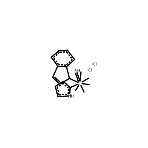 Cl.Cl.[CH3][Ti]([CH3])([CH3])([CH3])([CH3])(=[SiH2])([c]1ccc[nH]1)[CH]1C=Cc2ccccc21